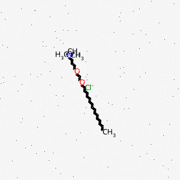 CCCCCCCCCCCCCCCCCCOCCCOCCCCC[N+](C)(C)C.[Cl-]